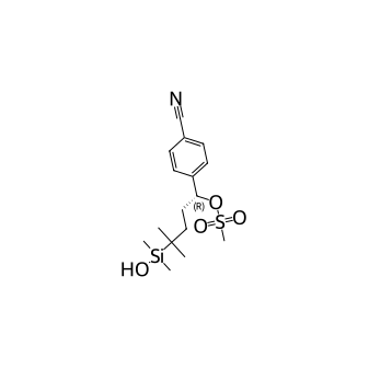 CC(C)(CC[C@@H](OS(C)(=O)=O)c1ccc(C#N)cc1)[Si](C)(C)O